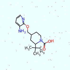 CC(C)(C)C1CC(COc2ncccc2N)CCN1C(=O)O